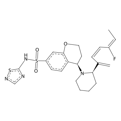 C=C(/C=C\C(F)=C/C)[C@H]1CCCCN1[C@@H]1CCOc2cc(S(=O)(=O)Nc3ncns3)ccc21